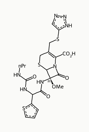 CCCNC(=O)NC(C(=O)N[C@@]1(OC)C(=O)N2C(C(=O)O)=C(CSc3cnn[nH]3)CSC21)c1cccs1